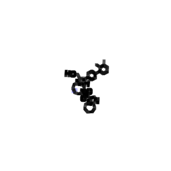 Cc1cccc(-c2ccc([C@@H]3C(CO)N4C/C=C\CN(S(=O)(=O)c5cnc6n5CCCCC6)C[C@@H]34)cc2)c1C